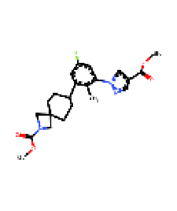 Cc1c(C2CCC3(CC2)CN(C(=O)OC(C)(C)C)C3)cc(F)cc1-n1cc(C(=O)OC(C)(C)C)cn1